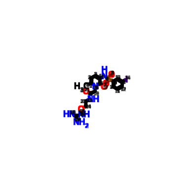 Cc1ccc(NS(=O)(=O)c2cccc(I)c2)c(=O)n1CC(=O)NCCONC(=N)N